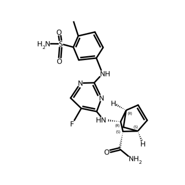 Cc1ccc(Nc2ncc(F)c(N[C@H]3[C@@H](C(N)=O)[C@@H]4C=C[C@H]3C4)n2)cc1S(N)(=O)=O